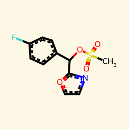 CS(=O)(=O)OC(c1ccc(F)cc1)c1ncco1